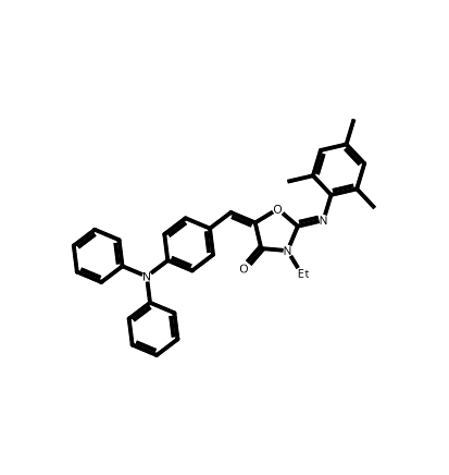 CCN1C(=O)/C(=C\c2ccc(N(c3ccccc3)c3ccccc3)cc2)O/C1=N\c1c(C)cc(C)cc1C